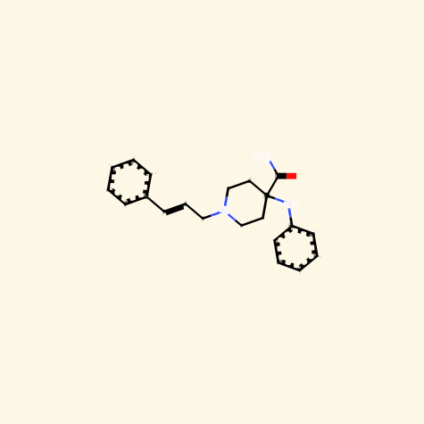 NC(=O)C1(Nc2ccccc2)CCN(CC=Cc2ccccc2)CC1